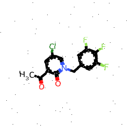 CC(=O)c1cc(Cl)cn(Cc2cc(F)c(F)c(F)c2)c1=O